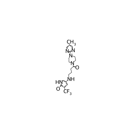 Cc1cnc(N2CCN(C(=O)CCCNc3c[nH]c(=O)c(C(F)(F)F)c3)CC2)nc1